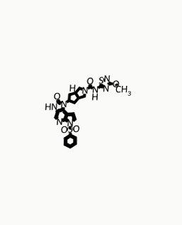 COc1nsc(NC(=O)N2CC3CC(n4c(=O)[nH]c5cnc6c(ccn6S(=O)(=O)c6ccccc6)c54)C[C@H]3C2)n1